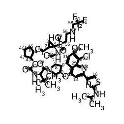 C=CC1C[C@]1(NC(=O)[C@@H]1C[C@@H](Oc2cc(-c3csc(NC(C)C)n3)nc3c(Cl)c(OC)ccc23)CN1C(=O)[C@@H](NC(=O)OC1CCCC1)C(C)(C)C)P(=O)(O)CCNCC(F)(F)F